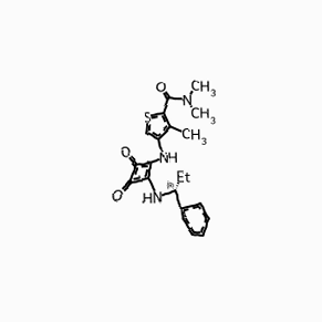 CC[C@@H](Nc1c(Nc2csc(C(=O)N(C)C)c2C)c(=O)c1=O)c1ccccc1